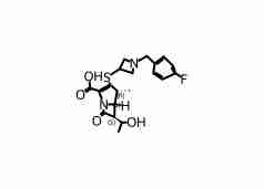 CC(O)[C@H]1C(=O)N2C(C(=O)O)=C(SC3CN(Cc4ccc(F)cc4)C3)[C@H](C)[C@H]12